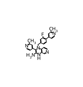 Cc1cc(C2=C(N)Nc3cnccc3N2Cc2ccc(-c3ccnc(C)c3)c(F)c2)ccn1